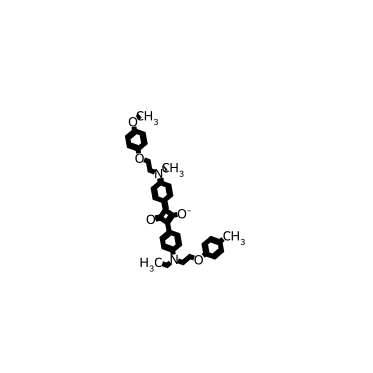 CCN(CCOc1ccc(C)cc1)c1ccc(C2=C([O-])C(=C3C=CC(=[N+](C)CCOc4ccc(OC)cc4)C=C3)C2=O)cc1